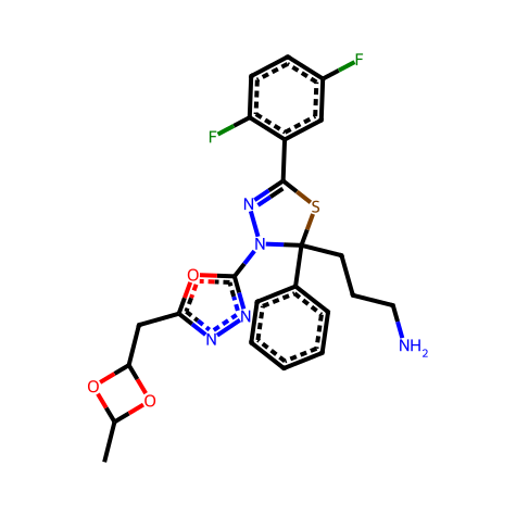 CC1OC(Cc2nnc(N3N=C(c4cc(F)ccc4F)SC3(CCCN)c3ccccc3)o2)O1